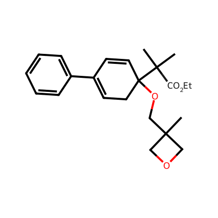 CCOC(=O)C(C)(C)C1(OCC2(C)COC2)C=CC(c2ccccc2)=CC1